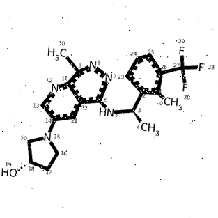 Cc1c([C@@H](C)Nc2nnc(C)c3ncc(N4CC[C@H](O)C4)cc23)cccc1C(F)(F)F